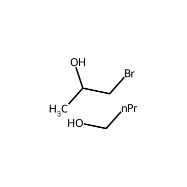 CC(O)CBr.CCCCO